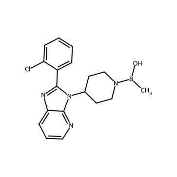 CB(O)N1CCC(n2c(-c3ccccc3Cl)nc3cccnc32)CC1